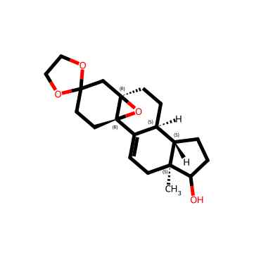 C[C@]12CC=C3[C@@H](CC[C@@]45CC6(CC[C@@]34O5)OCCO6)[C@@H]1CCC2O